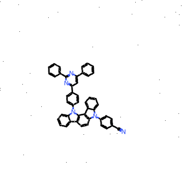 N#Cc1ccc(-n2c3ccccc3c3c2ccc2c4ccccc4n(-c4ccc(-c5cc(-c6ccccc6)nc(-c6ccccc6)n5)cc4)c23)cc1